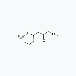 CCC(Cl)CC1CCC[SiH2]O1